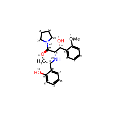 COc1ccccc1[C@@H](O)[C@H](N[C@@H](C)c1ccccc1O)C(=O)N1CCCC1